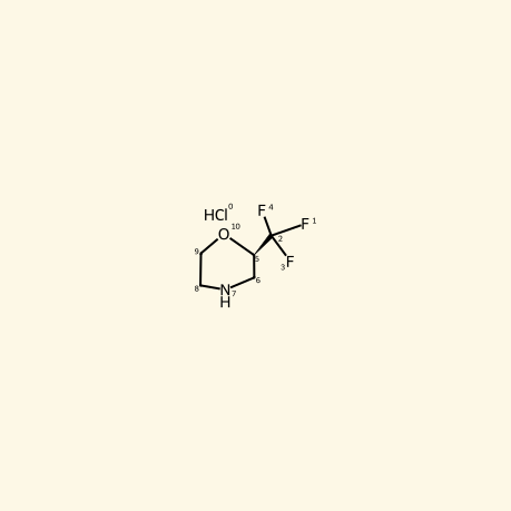 Cl.FC(F)(F)[C@H]1CNCCO1